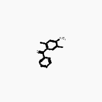 Cc1cc([N+](=O)[O-])c(C)cc1C(=O)c1ccccc1